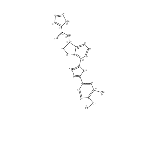 CC(C)Oc1ccc(-c2nnc(-c3cccc4c3CC[C@@H]4NC(=O)c3ncc[nH]3)s2)cc1C#N